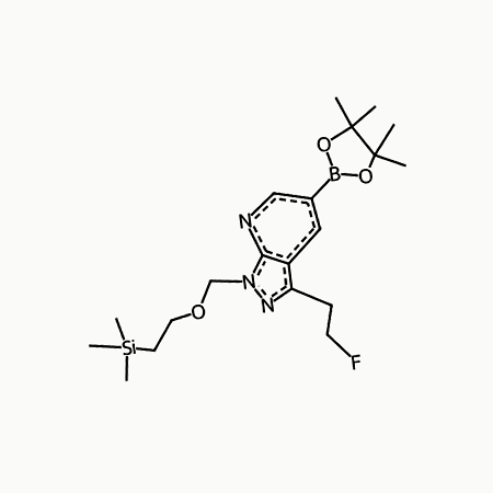 CC1(C)OB(c2cnc3c(c2)c(CCF)nn3COCC[Si](C)(C)C)OC1(C)C